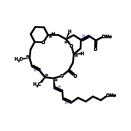 COCCCC/C=C\C=C\[C@@H]1OC(=O)C[C@@H]2C/C(=C\C(=O)OC)C[C@H](C[C@@H]3CCCC(C[C@@H](C)/C=C/[C@@H]1C)O3)O2